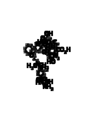 CN(C)CCCOC1(Cc2ccccc2)CCCCCC1.C[C@]12CC[C@@H](O)C[C@H]1CC[C@@H]1[C@@H]2C(=O)C[C@@]2(C)[C@H]1CC[C@]2(O)C(=O)CO.N=C(N)NS(=O)(=O)c1ccc(N)cc1.O=C(O)/C=C/C(=O)O